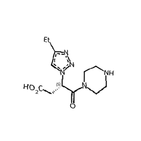 CCc1cn([C@@H](CC(=O)O)C(=O)N2CCNCC2)nn1